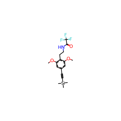 COc1cc(C#C[Si](C)(C)C)cc(OC)c1CCNC(=O)C(F)(F)F